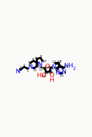 N#CCCN1CCC2(CCCN2C[C@H]2O[C@@H](n3ccc4c(N)ncnc43)[C@H](O)[C@@H]2O)CC1